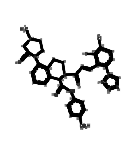 CN1CCN(c2cccc3c2CCN(C(=O)/C=C/c2c(-n4cnnn4)ccc(Cl)c2F)C3C(=O)Nc2ccc(C(=O)O)cc2)C(=O)C1